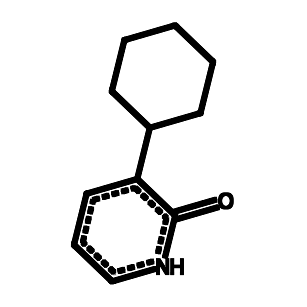 O=c1[nH]cccc1C1CCCCC1